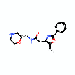 Cc1oc(-c2ccccc2)nc1CC(=O)NC[C@H]1CNCCO1